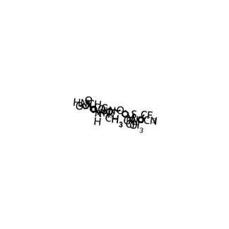 C[C@@H]1CN(CCO[C@H]2CC[C@H](N3C(=S)N(c4ccc(C#N)c(C(F)(F)F)c4)C(=O)C3(C)C)CC2)C[C@H](C)N1CC(=O)Nc1ccc(C2(C)CCC(=O)NC2=O)cc1